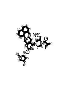 C=C(F)C(=O)N1CCN(c2nc(OC[C@@H]3C[C@H](I)CN3C)nc3c2CCN(c2cccc4cccc(C)c24)C3)CC1CC#N